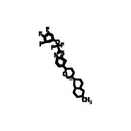 CC1CCC2CC([C@@H]3CCC(c4ccc5nc(C(F)(F)Oc6cc(F)c(F)c(F)c6)sc5c4)OC3)CCC2C1